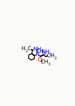 C=CC(N)=C(OC)N(C)C1=C(C(=C)N)CCCC1